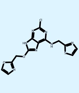 Clc1nc(NCc2nccs2)c2nc(OCc3ncco3)[nH]c2n1